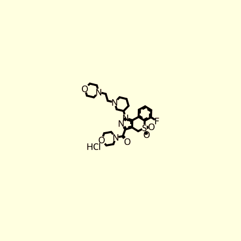 Cl.O=C(c1nn(C2CCCN(CCN3CCOCC3)C2)c2c1CS(=O)(=O)c1c(F)cccc1-2)N1CCOCC1